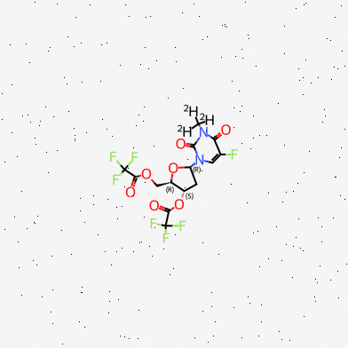 [2H]C([2H])([2H])n1c(=O)c(F)cn([C@H]2C[C@H](OC(=O)C(F)(F)F)[C@@H](COC(=O)C(F)(F)F)O2)c1=O